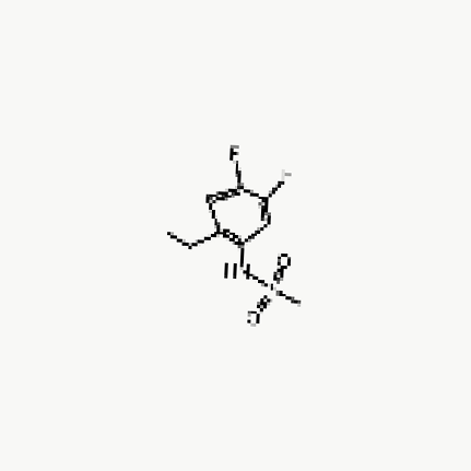 CCc1cc(F)c(F)cc1NS(C)(=O)=O